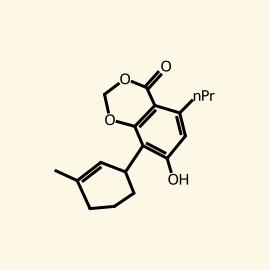 CCCc1cc(O)c(C2C=C(C)CCC2)c2c1C(=O)OCO2